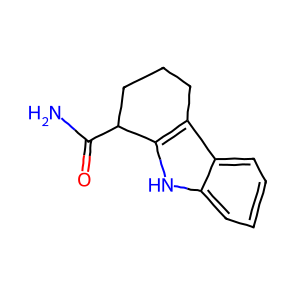 NC(=O)C1CCCc2c1[nH]c1ccccc21